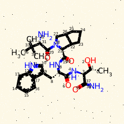 C[C@@H](O)[C@H](NC(=O)[C@H](Cc1c[nH]c2ccccc12)NC(=O)[C@@H]1C2CCCC2CN1C(=O)[C@@H](N)C(C)(C)C)C(N)=O